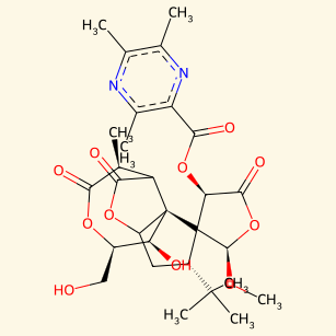 CO[C@@H]1OC(=O)[C@H](OC(=O)c2nc(C)c(C)nc2C)C12[C@H](C(C)(C)C)CC1OC(=O)C3[C@H](C)C(=O)O[C@H](CO)[C@H](O)[C@]132